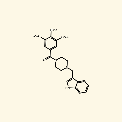 COc1cc(C(=O)N2CCN(Cc3c[nH]c4ccccc34)CC2)cc(OC)c1OC